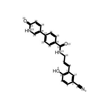 N#Cc1ccc(O)c(/C=C/CNC(=O)c2ccc(-c3ccc(=O)[nH]c3)cc2)c1